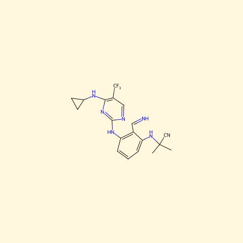 CC(C)(C#N)Nc1cccc(Nc2ncc(C(F)(F)F)c(NC3CC3)n2)c1C=N